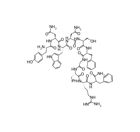 CC(C)C[C@H](NC(=O)CNC(=O)[C@H](Cc1ccccc1)NC(=O)[C@H](CO)NC(=O)[C@H](CC(N)=O)NC(=O)[C@H](Cc1c[nH]c2ccccc12)NC(=O)[C@H](CC(N)=O)NC(=O)[C@@H](N)Cc1ccc(O)cc1)C(=O)N[C@@H](CCCNC(=N)N)C(=O)NC(Cc1ccccc1)C(N)=O